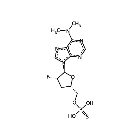 CN(C)c1ncnc2c1ncn2[C@H]1O[C@H](COP(O)(O)=S)C[C@@H]1F